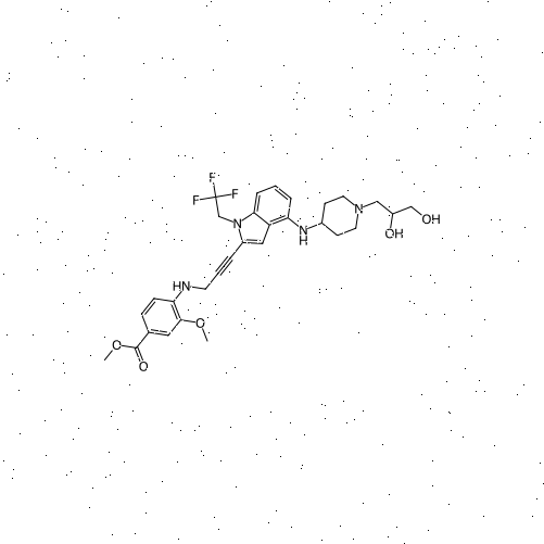 COC(=O)c1ccc(NCC#Cc2cc3c(NC4CCN(CC(O)CO)CC4)cccc3n2CC(F)(F)F)c(OC)c1